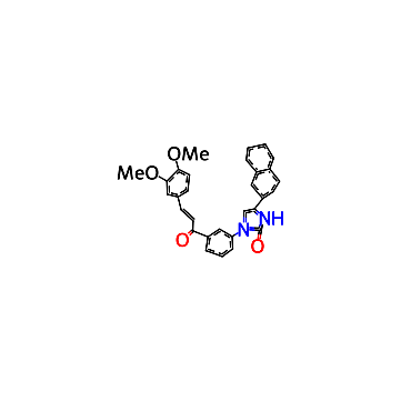 COc1ccc(C=CC(=O)c2cccc(-n3cc(-c4ccc5ccccc5c4)[nH]c3=O)c2)cc1OC